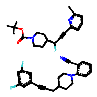 Cc1cccc(C#CC(F)C2CCN(C(=O)OC(C)(C)C)CC2)n1.N#Cc1ccccc1N1CCC(CC#Cc2cc(F)cc(F)c2)CC1